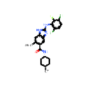 COc1cc2[nH]c(Nc3c(Cl)ccc(Cl)c3F)nc2cc1C(=O)N[C@H]1CC[C@H](C(F)(F)F)CC1